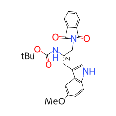 COc1ccc2[nH]cc(C[C@@H](CN3C(=O)c4ccccc4C3=O)NC(=O)OC(C)(C)C)c2c1